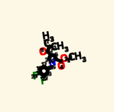 CCOC(=O)c1cc(C(=O)C(C)C)cn1Cc1ccc(F)c(F)c1